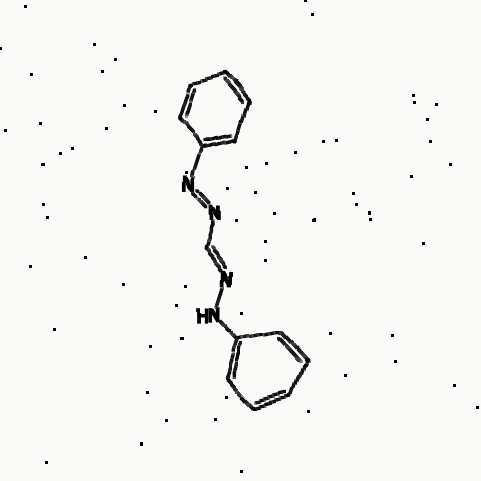 C(=N\Nc1ccccc1)/N=N/c1ccccc1